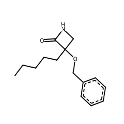 CCCCCC1(OCc2ccccc2)CNC1=O